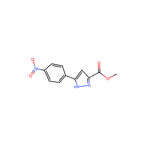 COC(=O)c1cc(-c2ccc([N+](=O)[O-])cc2)[nH]n1